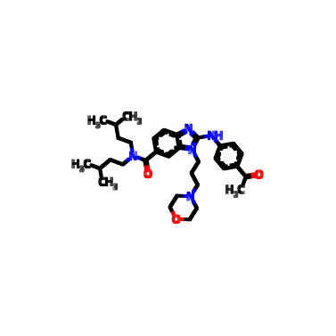 CC(=O)c1ccc(Nc2nc3ccc(C(=O)N(CCC(C)C)CCC(C)C)cc3n2CCCN2CCOCC2)cc1